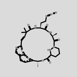 C[C@@H]1NC(=O)[C@H](CCN=[N+]=[N-])NC(=O)C(C)(C)/C=C/c2cc3cc(ccc3cn2)[C@@H](C)OC(=O)[C@@H]2CCCN(N2)C1=O